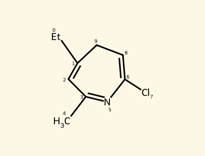 CCC1=CC(C)=NC(Cl)=CC1